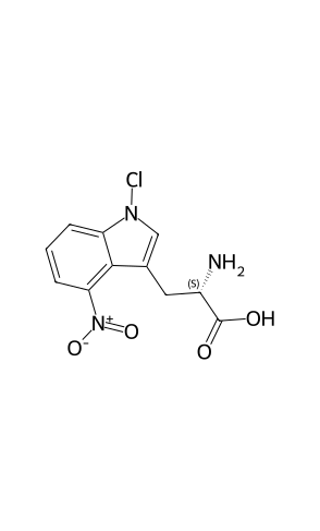 N[C@@H](Cc1cn(Cl)c2cccc([N+](=O)[O-])c12)C(=O)O